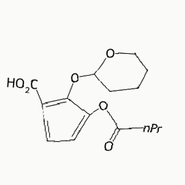 CCCC(=O)Oc1cccc(C(=O)O)c1OC1CCCCO1